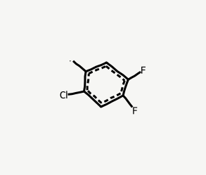 [CH2]c1cc(F)c(F)cc1Cl